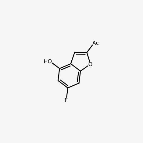 CC(=O)c1cc2c(O)cc(F)cc2o1